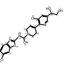 OC[C@H](O)c1cnc(C2=CCN(C(O)Nc3nc4ccc(Cl)cc4s3)CC2)c(Cl)c1